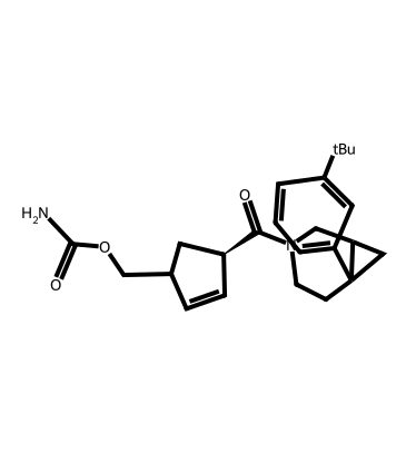 CC(C)(C)c1cccc(C23CCN(C(=O)[C@H]4C=CC(COC(N)=O)C4)CC2C3)c1